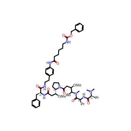 CCC(C)C(C(CC(=O)N1CCC[C@H]1C(CC(=O)N[C@@H](Cc1ccccc1)C(=O)NCCc1ccc(NC(=O)CCCCCNC(=O)OCc2ccccc2)cc1)OC)OC)N(C)C(=O)[C@@H](NC(=O)[C@H](C(C)C)N(C)C)C(C)C